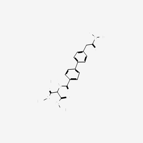 CNC(=O)C(C(=O)NO)N(C)C(=O)c1ccc(-c2ccc(CC(=O)N(C)C)cc2)cc1